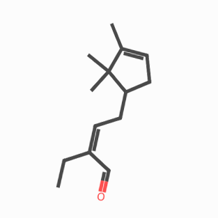 CCC(C=O)=CCC1CC=C(C)C1(C)C